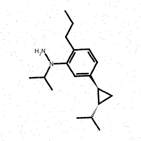 CCCc1ccc([C@H]2C[C@@H]2C(C)C)cc1N(N)C(C)C